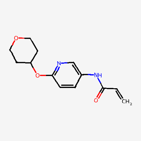 C=CC(=O)Nc1ccc(OC2CCOCC2)nc1